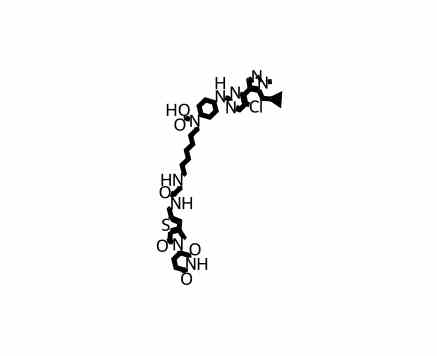 Cn1ncc(-c2nc(N[C@H]3CC[C@H](N(CCCCCCCNCC(=O)NCc4cc5c(s4)C(=O)N(C4CCC(=O)NC4=O)C5)C(=O)O)CC3)ncc2Cl)c1CC1CC1